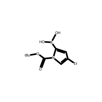 CCc1cc(B(O)O)n(C(=O)OC(C)(C)C)c1